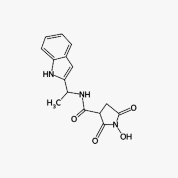 CC(NC(=O)C1CC(=O)N(O)C1=O)c1cc2ccccc2[nH]1